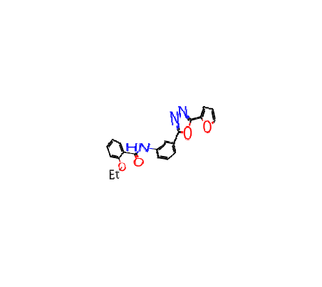 CCOc1ccccc1C(=O)Nc1cccc(-c2nnc(-c3ccco3)o2)c1